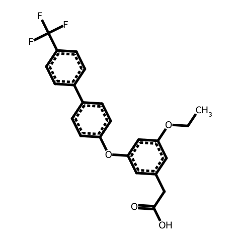 CCOc1cc(CC(=O)O)cc(Oc2ccc(-c3ccc(C(F)(F)F)cc3)cc2)c1